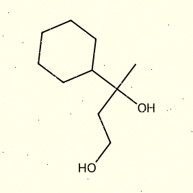 CC(O)(CCO)C1CCCCC1